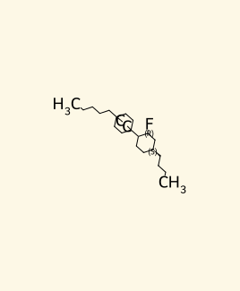 CCCCCC12CCC(C3CC[C@H](CCCC)C[C@H]3F)(CC1)CC2